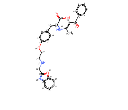 CC(=CC(=O)c1ccccc1)N[C@@H](Cc1ccc(OCCNCc2nc3ccccc3o2)cc1)C(=O)O